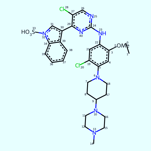 CC.COc1cc(N2CCC(N3CCN(C)CC3)CC2)c(Cl)cc1Nc1ncc(Cl)c(-c2cn(S(=O)(=O)O)c3ccccc23)n1